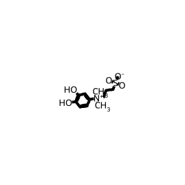 C[N+](C)(CCCS(=O)(=O)[O-])c1ccc(O)c(O)c1